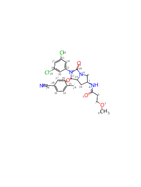 COCCC(=O)N[C@@H]1CN2C(=O)N(c3cc(Cl)cc(Cl)c3)C(=O)[C@]2(Cc2ccc(C#N)cc2)C1